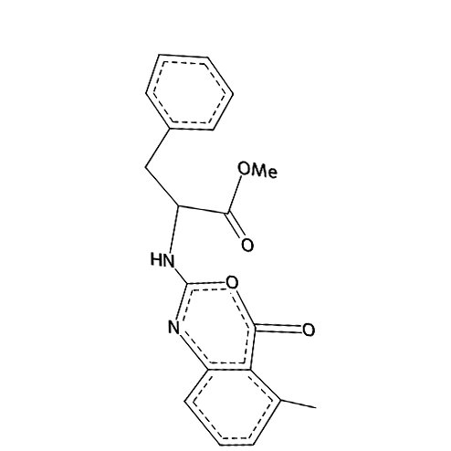 COC(=O)C(Cc1ccccc1)Nc1nc2cccc(C)c2c(=O)o1